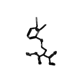 COC(=O)C(CCOc1cccc(C)c1C)C(=O)OC(C)(C)C